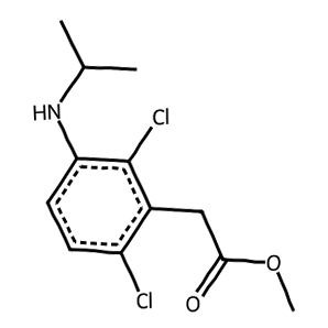 COC(=O)Cc1c(Cl)ccc(NC(C)C)c1Cl